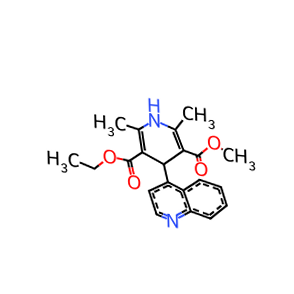 CCOC(=O)C1=C(C)NC(C)=C(C(=O)OC)C1c1ccnc2ccccc12